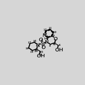 O=S(=O)(N1C[C@H](CO)Oc2cccnc21)N1CCCC[C@@H]1CO